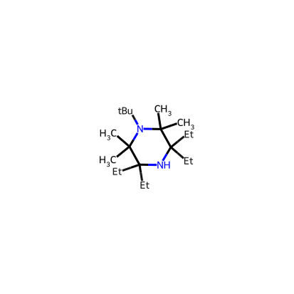 CCC1(CC)NC(CC)(CC)C(C)(C)N(C(C)(C)C)C1(C)C